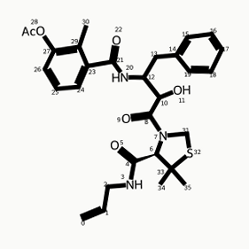 C=CCNC(=O)[C@H]1N(C(=O)C(O)C(Cc2ccccc2)NC(=O)c2cccc(OC(C)=O)c2C)CSC1(C)C